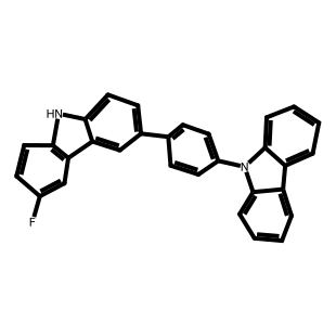 Fc1ccc2[nH]c3ccc(-c4ccc(-n5c6ccccc6c6ccccc65)cc4)cc3c2c1